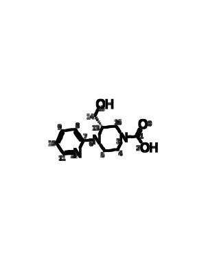 O=C(O)N1CCN(c2ccccn2)[C@H](CO)C1